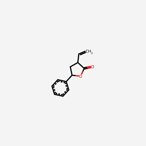 C=CC1CC(c2ccccc2)OC1=O